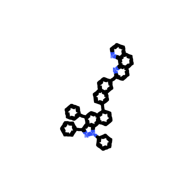 c1ccc(-c2cc3c(-c4ccc5ccc(-c6ccc7ccc8cccnc8c7n6)cc5c4)cccc3c3c2c(-c2ccccc2)nn3-c2ccccc2)cc1